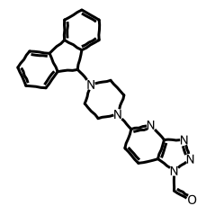 O=Cn1nnc2nc(N3CCN(C4c5ccccc5-c5ccccc54)CC3)ccc21